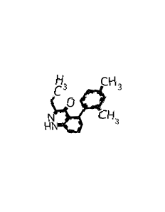 CCc1n[nH]c2cccc(-c3ccc(C)cc3C)c2c1=O